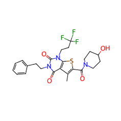 Cc1c(C(=O)N2CCC(O)CC2)sc2c1c(=O)n(CCc1ccccc1)c(=O)n2CCC(F)(F)F